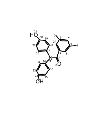 Cc1cc(C)cc(C(=O)N(c2ccc(O)cc2)c2ccc(O)cc2)c1